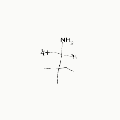 [2H]C([2H])(N)C(C)(C)C